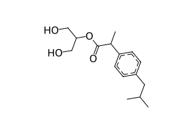 CC(C)Cc1ccc(C(C)C(=O)OC(CO)CO)cc1